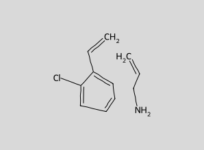 C=CCN.C=Cc1ccccc1Cl